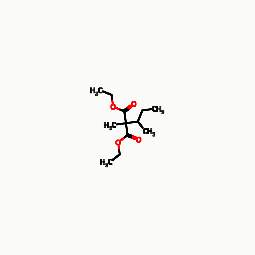 CCOC(=O)C(C)(C(=O)OCC)C(C)CC